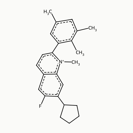 Cc1cc(C)c(C)c(-c2ccc3cc(F)c(C4CCCC4)cc3[n+]2C)c1